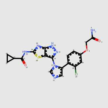 NC(=O)COc1ccc(-c2cncn2-c2n[nH]c3nc(NC(=O)C4CC4)sc23)c(Cl)c1